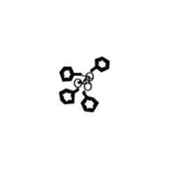 c1ccc(C[O][Zr]([CH2]c2ccccc2)([O]Cc2ccccc2)[O]Cc2ccccc2)cc1